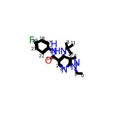 CCn1ncc2c(NC(C)(C)C)c(C(=O)Nc3ccc(F)cc3)cnc21